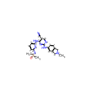 CN1Cc2ccc(Nc3ncc(C#N)c(Nc4cccc(N=S(C)(C)=O)n4)n3)cc2C1